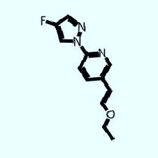 CCO/C=C/c1ccc(-n2cc(F)cn2)nc1